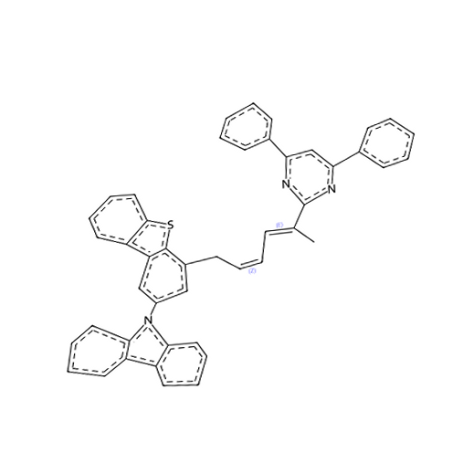 C/C(=C\C=C/Cc1cc(-n2c3ccccc3c3ccccc32)cc2c1sc1ccccc12)c1nc(-c2ccccc2)cc(-c2ccccc2)n1